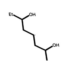 CCC(O)C[CH]CC(C)O